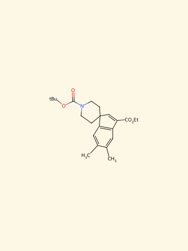 CCOC(=O)C1=CC2(CCN(C(=O)OC(C)(C)C)CC2)c2cc(C)c(C)cc21